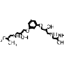 CC(C)CNCC(O)COc1cccc(OCC(O)CNCC(C)N)c1